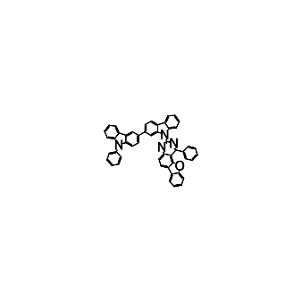 c1ccc(-c2nc(-n3c4ccccc4c4ccc(-c5ccc6c(c5)c5ccccc5n6-c5ccccc5)cc43)nc3ccc4c5ccccc5oc4c23)cc1